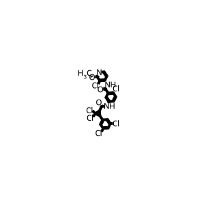 COc1nccc(NC(=O)c2cc(NC(=O)C3C(c4cc(Cl)cc(Cl)c4)C3(Cl)Cl)ccc2Cl)c1Cl